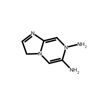 NC1=CN2CC=NC2=CN1N